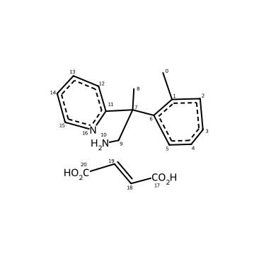 Cc1ccccc1C(C)(CN)c1ccccn1.O=C(O)/C=C/C(=O)O